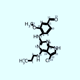 CCCNc1nc(Nc2ccc(C=O)cc2OC)nc2[nH]cc(Cl)c12